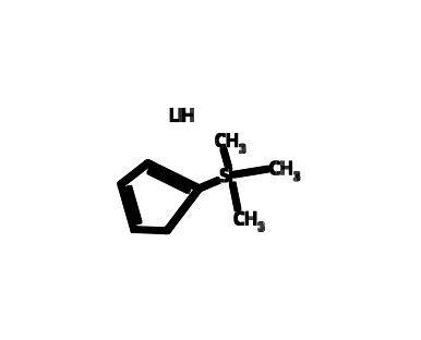 C[Si](C)(C)C1=CC=CC1.[LiH]